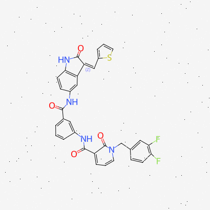 O=C1Nc2ccc(NC(=O)c3cccc(NC(=O)c4cccn(Cc5ccc(F)c(F)c5)c4=O)c3)cc2/C1=C/c1cccs1